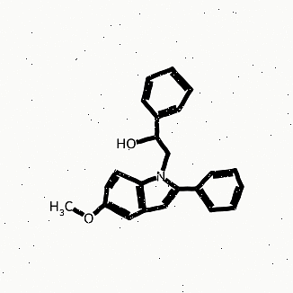 COc1ccc2c(c1)cc(-c1ccccc1)n2CC(O)c1ccccc1